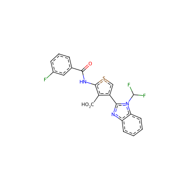 O=C(Nc1scc(-c2nc3ccccc3n2C(F)F)c1C(=O)O)c1cccc(F)c1